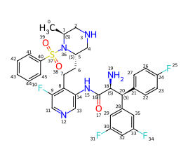 C[C@H]1CNC[C@H](CCc2c(F)cncc2NC(=O)[C@@H](N)[C@@H](c2ccc(F)cc2)c2cc(F)cc(F)c2)N1S(=O)(=O)c1ccccc1